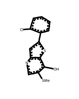 CSc1cnc2cc(-c3ccccc3Cl)sc2c1O